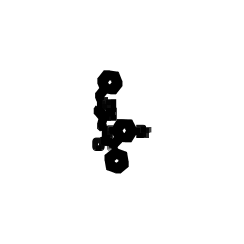 O=C1[C@H](c2ccccc2)c2cc(Br)ccc2N1Cc1cn(Cc2ccccc2)nn1